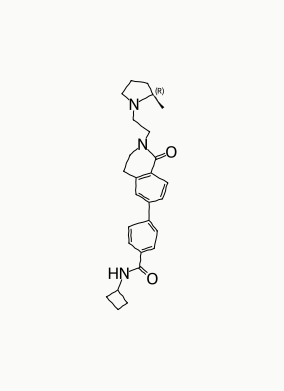 C[C@@H]1CCCN1CCN1CCc2cc(-c3ccc(C(=O)NC4CCC4)cc3)ccc2C1=O